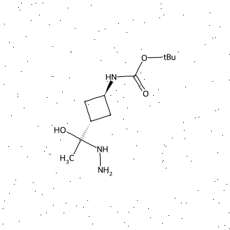 CC(C)(C)OC(=O)N[C@H]1C[C@H](C(C)(O)NN)C1